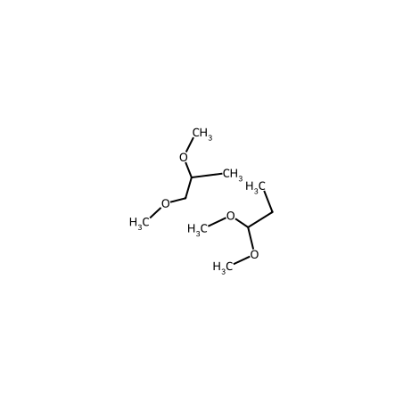 CCC(OC)OC.COCC(C)OC